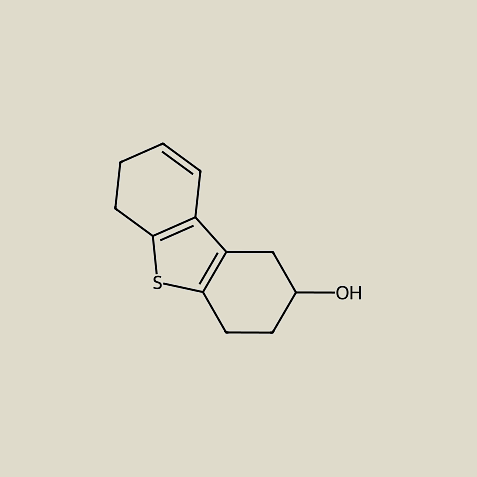 OC1CCc2sc3c(c2C1)C=CCC3